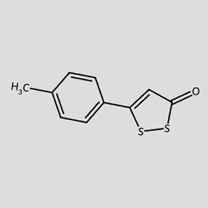 Cc1ccc(-c2cc(=O)ss2)cc1